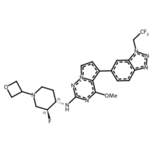 COc1nc(N[C@H]2CCN(C3COC3)C[C@@H]2F)nn2ccc(-c3ccc4nnn(CC(F)(F)F)c4c3)c12